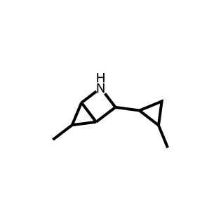 CC1CC1C1NC2C(C)C21